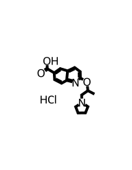 CC(CN1CCCC1)Oc1ccc2cc(C(=O)O)ccc2n1.Cl